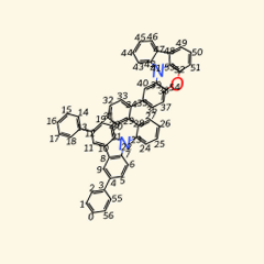 c1ccc(-c2ccc3c(c2)c2cc(-c4ccccc4)ccc2n3-c2ccccc2-c2ccccc2-c2ccc3c(c2)-n2c4ccccc4c4cccc(c42)O3)cc1